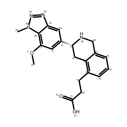 COc1cc([C@H]2Cc3c(CCC(=O)O)cccc3CN2)cc2nnn(C)c12